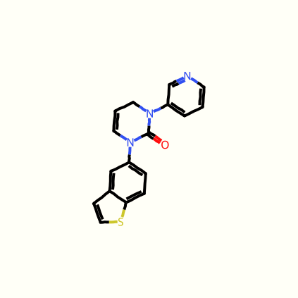 O=C1N(c2ccc3sccc3c2)C=CCN1c1cccnc1